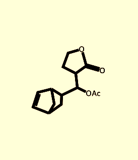 CC(=O)OC(C1CCOC1=O)C1CC2C=CC1C2